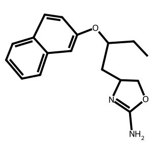 CCC(CC1COC(N)=N1)Oc1ccc2ccccc2c1